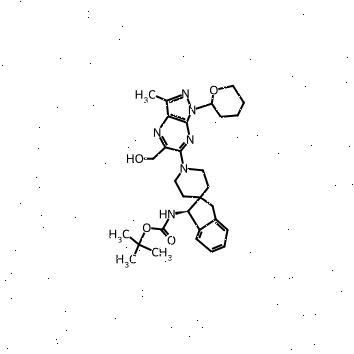 Cc1nn(C2CCCCO2)c2nc(N3CCC4(CC3)Cc3ccccc3[C@H]4NC(=O)OC(C)(C)C)c(CO)nc12